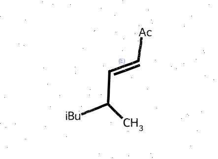 CCC(C)C(C)/C=C/C(C)=O